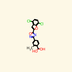 Cc1cc(-c2noc(-c3cc4c(Cl)ccc(Cl)c4o3)n2)ccc1C(O)O